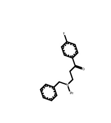 CC(C)N(CCC(=O)c1ccc(F)cc1)Cc1ccccc1